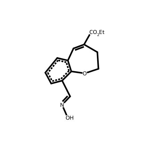 CCOC(=O)C1=Cc2cccc(C=NO)c2OCC1